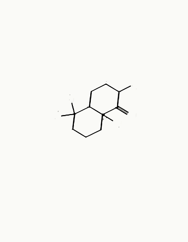 C=C1C(C)CCC2C(C)(C)CCCC12C